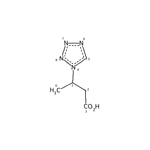 CC(CC(=O)O)n1[c]nnn1